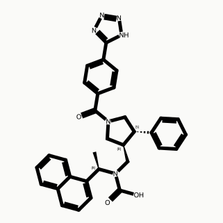 C[C@H](c1cccc2ccccc12)N(C[C@H]1CN(C(=O)c2ccc(-c3nnn[nH]3)cc2)C[C@@H]1c1ccccc1)C(=O)O